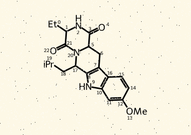 CCC1NC(=O)C2Cc3c([nH]c4cc(OC)ccc34)C(CC(C)C)N2C1=O